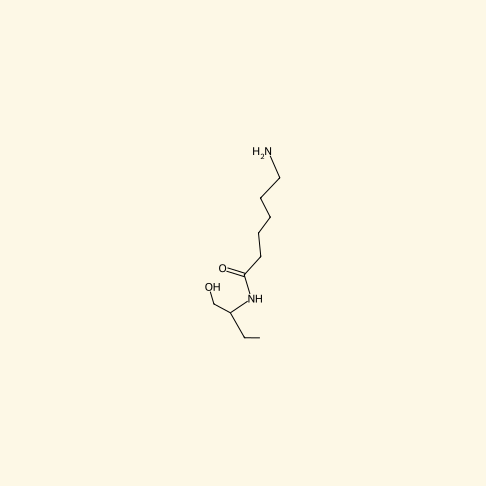 CCC(CO)NC(=O)CCCCCN